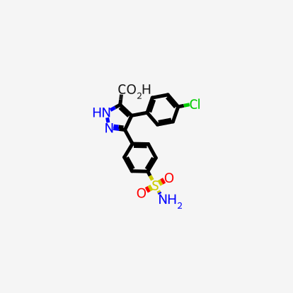 NS(=O)(=O)c1ccc(-c2n[nH]c(C(=O)O)c2-c2ccc(Cl)cc2)cc1